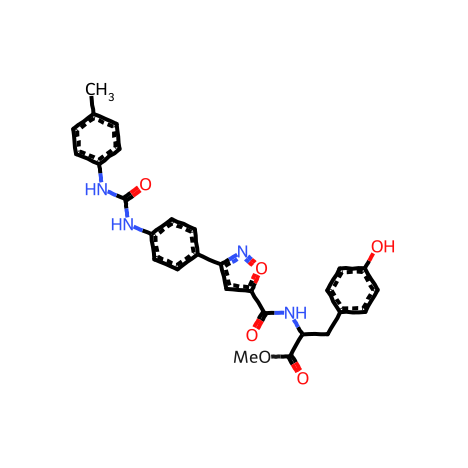 COC(=O)C(Cc1ccc(O)cc1)NC(=O)c1cc(-c2ccc(NC(=O)Nc3ccc(C)cc3)cc2)no1